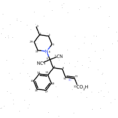 CC1CCN(C(C#N)(C#N)C(C/C=C/C(=O)O)c2ccccc2)CC1